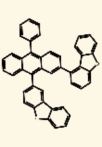 c1ccc(-c2c3ccccc3c(-c3ccc4oc5ccccc5c4c3)c3cc(-c4cccc5oc6ccccc6c45)ccc23)cc1